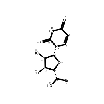 O=c1ccn([C@@H]2O[C@H](C(O)Br)[C@@H](O)[C@H]2O)c(=O)[nH]1